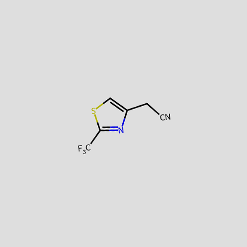 N#CCc1csc(C(F)(F)F)n1